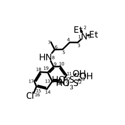 CCN(CC)CCCC(C)Nc1ccnc2cc(Cl)ccc12.O=S(=O)(O)O.O=S(=O)(O)O